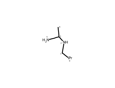 CC(C)CNC(C)N